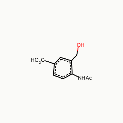 CC(=O)Nc1ccc(C(=O)O)cc1CO